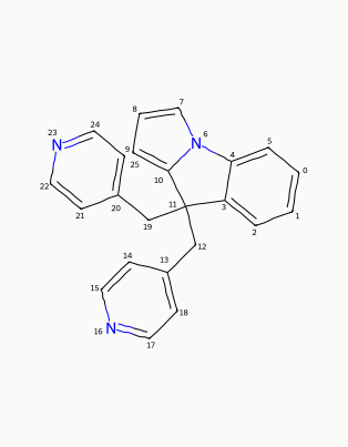 c1ccc2c(c1)-n1cccc1C2(Cc1ccncc1)Cc1ccncc1